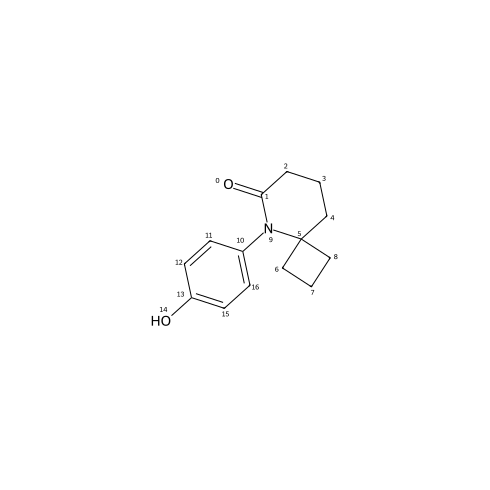 O=C1CCCC2(CCC2)N1c1ccc(O)cc1